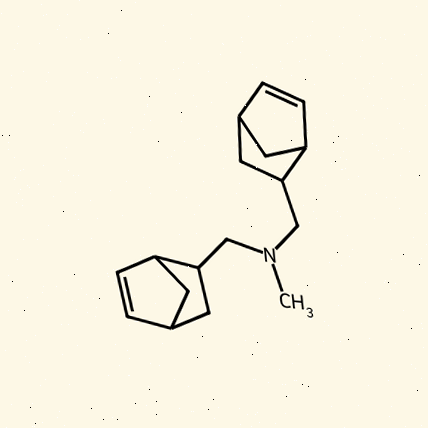 CN(CC1CC2C=CC1C2)CC1CC2C=CC1C2